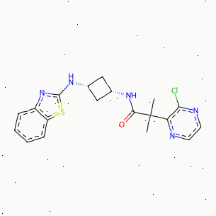 CC(C)(C(=O)N[C@H]1C[C@@H](Nc2nc3ccccc3s2)C1)c1nccnc1Cl